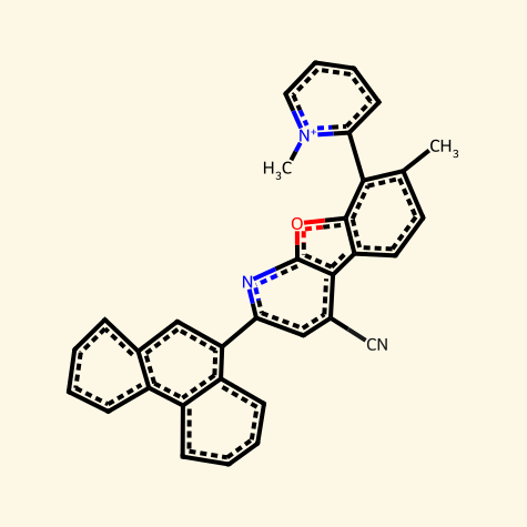 Cc1ccc2c(oc3nc(-c4cc5ccccc5c5ccccc45)cc(C#N)c32)c1-c1cccc[n+]1C